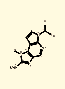 CNc1nc2cnc3c(ccn3C(I)I)c2n1C